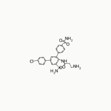 NCCC(=O)Nc1c(C(N)=O)cc(-c2ccc(Cl)cc2)cc1-c1ccc(S(N)(=O)=O)cc1